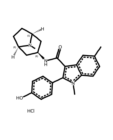 Cc1ccc2c(c1)c(C(=O)N[C@H]1C[C@H]3CC[C@@H](C1)N3C)c(-c1ccc(O)cc1)n2C.Cl